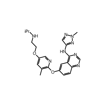 Cc1cc(OCCNC(C)C)cnc1Oc1ccc2ncnc(Nc3cnn(C)n3)c2c1